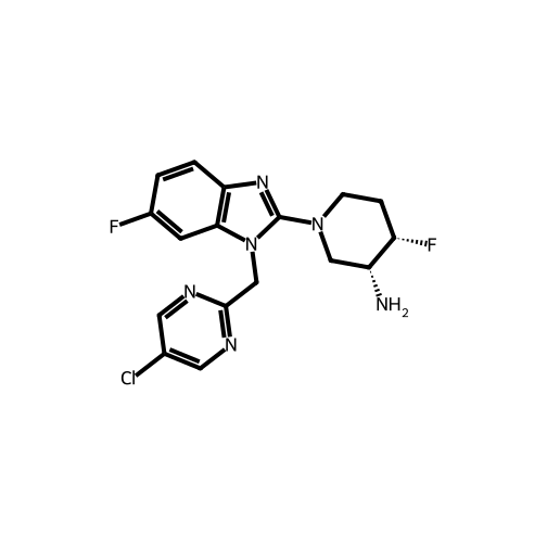 N[C@@H]1CN(c2nc3ccc(F)cc3n2Cc2ncc(Cl)cn2)CC[C@@H]1F